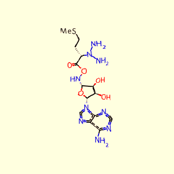 CSCC[C@@H](C(=O)ON[C@H]1O[C@@H](n2cnc3c(N)ncnc32)[C@H](O)[C@@H]1O)N(N)N